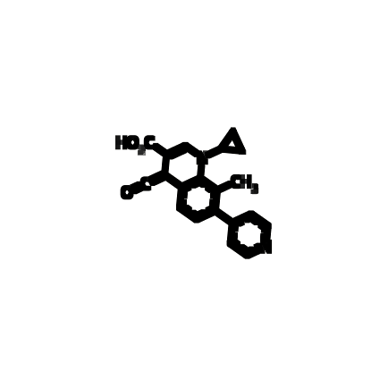 Cc1c(-c2ccncc2)ccc2c1N(C1CC1)C=C(C(=O)O)C2=C=O